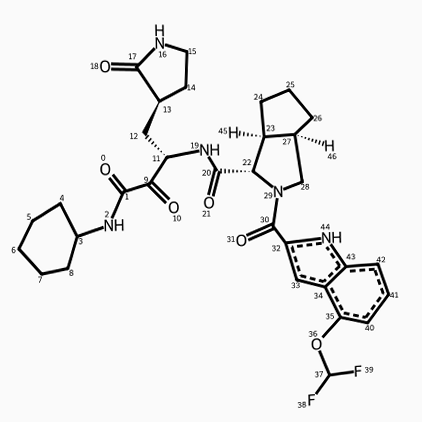 O=C(NC1CCCCC1)C(=O)[C@H](C[C@@H]1CCNC1=O)NC(=O)[C@@H]1[C@H]2CCC[C@H]2CN1C(=O)c1cc2c(OC(F)F)cccc2[nH]1